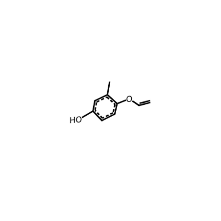 C=COc1ccc(O)cc1C